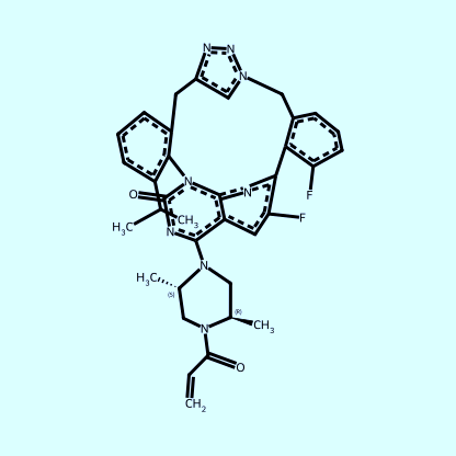 C=CC(=O)N1C[C@H](C)N(c2nc(=O)n3c4nc(c(F)cc24)-c2c(F)cccc2Cn2cc(nn2)Cc2cccc(C(C)C)c2-3)C[C@H]1C